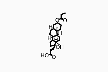 CCC(=O)O[C@H]1CC[C@@]2(C)[C@@H](CC[C@@H]3[C@@H]2CC[C@@]2(C)[C@H]3CC[C@@]2(O)C=CC(=O)O)C1